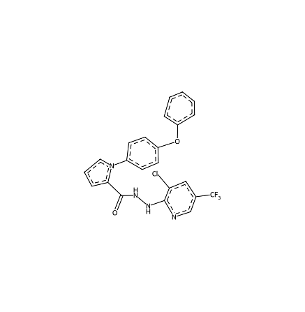 O=C(NNc1ncc(C(F)(F)F)cc1Cl)c1cccn1-c1ccc(Oc2ccccc2)cc1